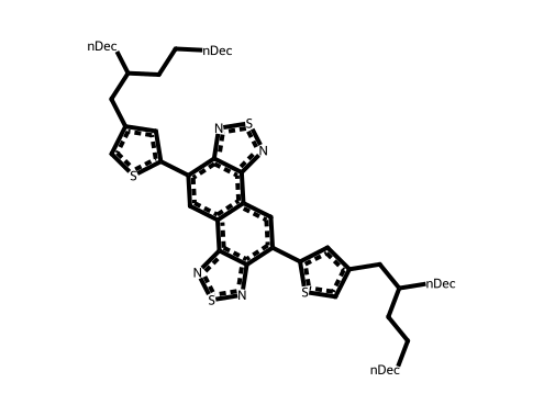 CCCCCCCCCCCCC(CCCCCCCCCC)Cc1csc(-c2cc3c(cc(-c4cc(CC(CCCCCCCCCC)CCCCCCCCCCCC)cs4)c4nsnc43)c3nsnc23)c1